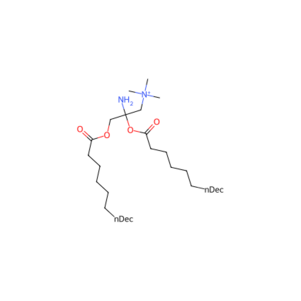 CCCCCCCCCCCCCCCC(=O)OCC(N)(C[N+](C)(C)C)OC(=O)CCCCCCCCCCCCCCC